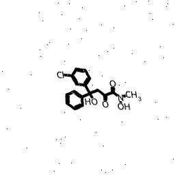 CN(O)C(=O)C(=O)CC(O)(c1ccccc1)c1cccc(Cl)c1